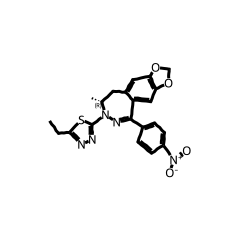 CCc1nnc(N2N=C(c3ccc([N+](=O)[O-])cc3)c3cc4c(cc3C[C@H]2C)OCO4)s1